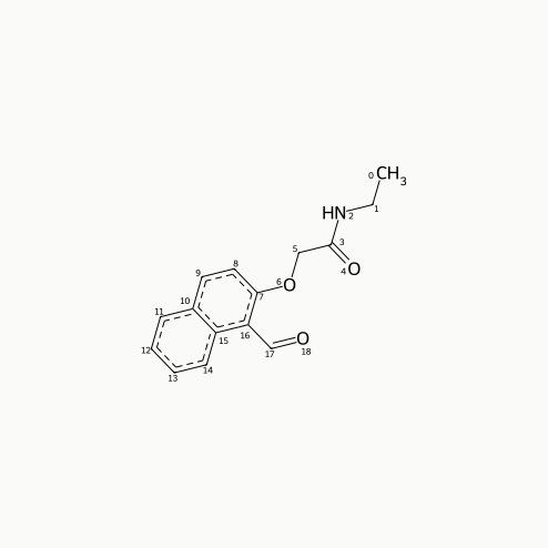 CCNC(=O)COc1ccc2ccccc2c1C=O